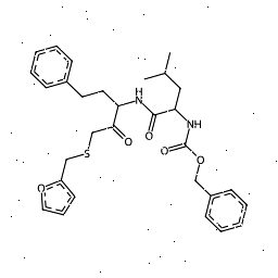 CC(C)CC(NC(=O)OCc1ccccc1)C(=O)NC(CCc1ccccc1)C(=O)CSCc1ccco1